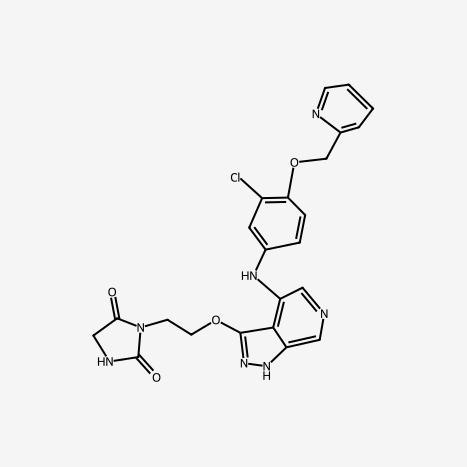 O=C1CNC(=O)N1CCOc1n[nH]c2cncc(Nc3ccc(OCc4ccccn4)c(Cl)c3)c12